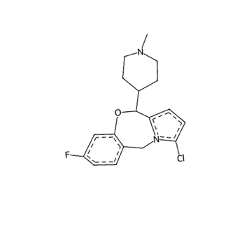 CN1CCC(C2Oc3cc(F)ccc3Cn3c(Cl)ccc32)CC1